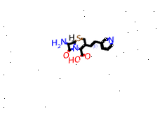 NC1C(=O)N2C(C(=O)O)=C(/C=C/c3cccnc3)CS[C@H]12